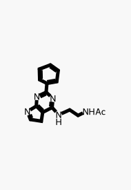 CC(=O)NCCNc1nc(-c2ccccc2)nc2c1CC=N2